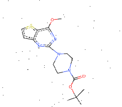 COc1nc(N2CCN(C(=O)OC(C)(C)C)CC2)nc2ccsc12